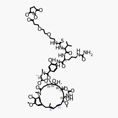 COc1cc2cc(c1Cl)N(C)C(=O)C[C@H](OC(=O)[C@H](C)N(C)C(=O)c1ccc(NC(=O)[C@H](CCCNC(N)=O)NC(=O)[C@@H](NC(=S)NCCOCCOCCC(=O)ON3C(=O)CCC3=O)C(C)C)c(O)c1)[C@]1(C)O[C@H]1[C@H](C)[C@@H]1C[C@@](O)(NC(=O)O1)[C@H](OC)/C=C/C=C(\C)C2